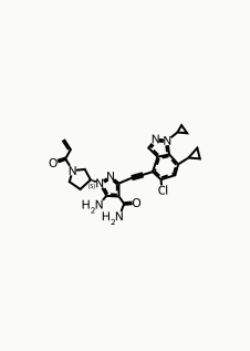 C=CC(=O)N1CC[C@H](n2nc(C#Cc3c(Cl)cc(C4CC4)c4c3cnn4C3CC3)c(C(N)=O)c2N)C1